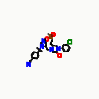 CC(C)(c1ccc(C#N)cc1)n1cncc1CN1CC(=O)N(c2cccc(Cl)c2)C[C@@H]1CCS(C)(=O)=O